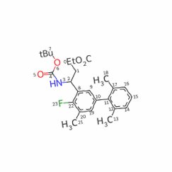 CCOC(=O)CC(NC(=O)OC(C)(C)C)c1cc(-c2c(C)cccc2C)cc(C)c1F